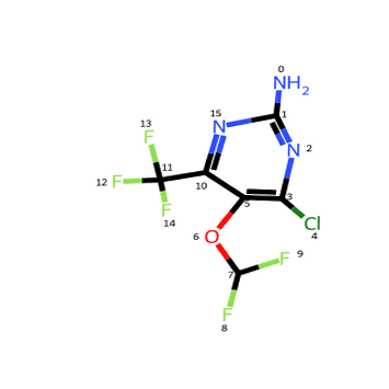 Nc1nc(Cl)c(OC(F)F)c(C(F)(F)F)n1